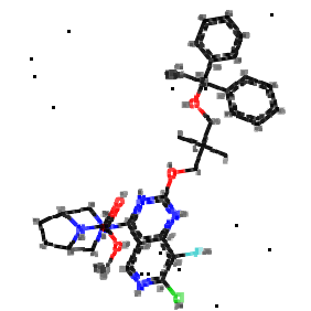 CC(C)(COc1nc(N2CC3CCC(C2)N3C(=O)OC(C)(C)C)c2cnc(Cl)c(F)c2n1)CO[Si](c1ccccc1)(c1ccccc1)C(C)(C)C